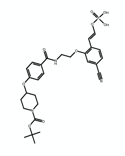 CC(C)(C)OC(=O)N1CCC(Oc2ccc(C(=O)NCCOc3cc(C#N)ccc3C=COP(=O)(O)O)cc2)CC1